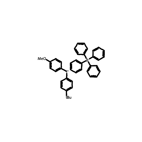 COc1ccc([I+]c2ccc(C(C)(C)C)cc2)cc1.c1ccc([B-](c2ccccc2)(c2ccccc2)c2ccccc2)cc1